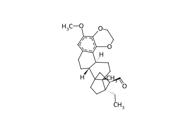 CC[C@@]12CCC3(C[C@H]1C=O)[C@@H]1CCc4cc(OC)c5c(c4[C@H]1CC[C@@]32C)OCCO5